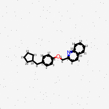 [CH](c1ccc(OCc2ccc3ccccc3n2)cc1)C1CCCC1